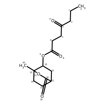 CCCC(=O)CCC(=O)OC1CC2CCC1(C)OC2=O